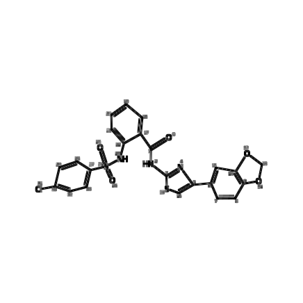 O=C(Nc1nc(-c2ccc3c(c2)OCO3)cs1)c1ccccc1NS(=O)(=O)c1ccc(Cl)cc1